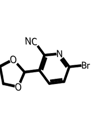 N#Cc1nc(Br)ccc1C1OCCO1